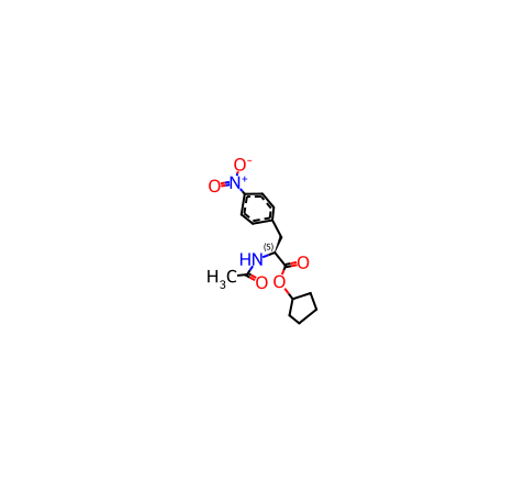 CC(=O)N[C@@H](Cc1ccc([N+](=O)[O-])cc1)C(=O)OC1CCCC1